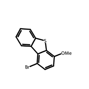 COc1ccc(Br)c2c1sc1ccccc12